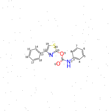 O=C(Nc1ccccc1)Oc1nc(-c2ccccc2)cs1